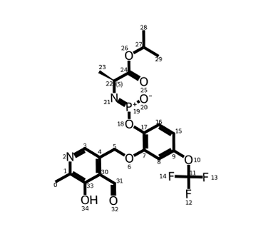 Cc1ncc(COc2cc(OC(F)(F)F)ccc2O[P+]([O-])=N[C@@H](C)C(=O)OC(C)C)c(C=O)c1O